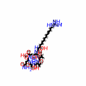 CC(NC(=O)C(CCC(N)=O)NC(=O)C(CO)NC(=O)C(NC(=O)C(NC(=O)C(CO)NC(=O)CC(O)CCCCCCCCCCCCNC(=N)N)C(C)C)C(C)C)C(=O)O